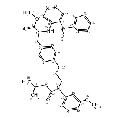 COC(=O)C(Cc1ccc(OCCN(C(=O)CC(C)C)c2cccc(OC)c2)cc1)Nc1ccccc1C(=O)c1ccccc1